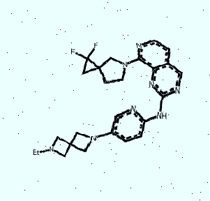 CCN1CC2(C1)CN(c1ccc(Nc3ncc4ccnc(N5CCC6(C5)CC6(F)F)c4n3)nc1)C2